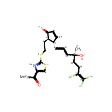 COC(=O)c1csc(SCC[C@H]2C(=O)C=C[C@@H]2/C=C/C[C@@](C)(O)CCC(F)=C(F)F)n1